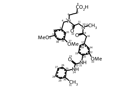 COc1cc(CN(CCC(=O)O)C(=O)CN(C)C(=O)Cc2ccc(NC(=O)Nc3ccccc3C)c(OC)c2)cc(OC)c1